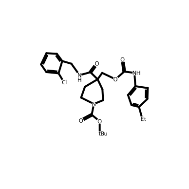 CCc1ccc(NC(=O)OCC2(C(=O)NCc3ccccc3Cl)CCN(C(=O)OC(C)(C)C)CC2)cc1